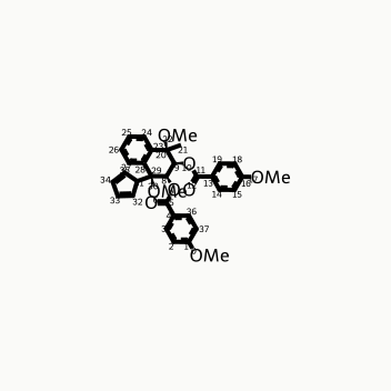 COc1ccc(C(=O)O[C@@H]2[C@H](OC(=O)c3ccc(OC)cc3)[C@](C)(OC)c3ccccc3[C@@]2(OC)C2C=CC=C2)cc1